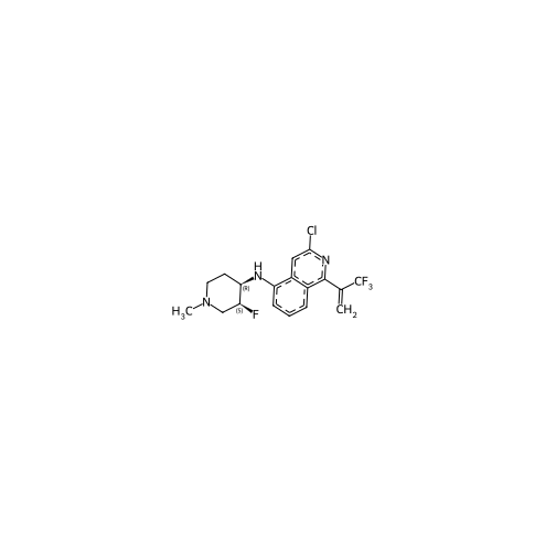 C=C(c1nc(Cl)cc2c(N[C@@H]3CCN(C)C[C@@H]3F)cccc12)C(F)(F)F